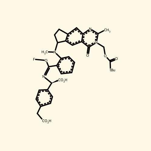 Cc1nc2cc3c(cc2c(=O)n1COC(=O)C(C)(C)C)C(N(C)c1ccccc1/C(=N\[C@@H](C(=O)O)c1ccc(CC(=O)O)cc1)OF)CC3